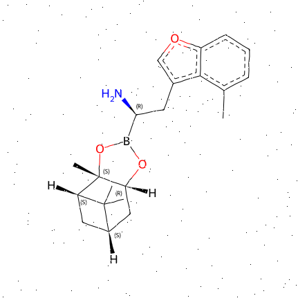 Cc1cccc2occ(C[C@H](N)B3O[C@@H]4C[C@@H]5C[C@@H](C5(C)C)[C@]4(C)O3)c12